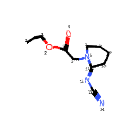 CCOC(=O)CN1CCCC/C1=N\C#N